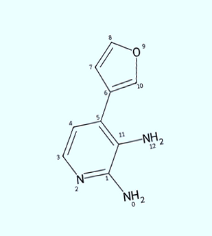 Nc1nccc(-c2ccoc2)c1N